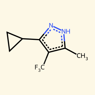 Cc1[nH]nc(C2CC2)c1C(F)(F)F